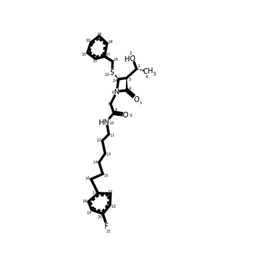 C[C@@H](O)[C@H]1C(=O)N(CC(=O)NCCCCCCc2ccc(F)cc2)[C@@H]1SCc1ccccc1